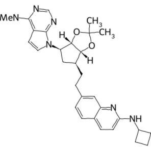 CNc1ncnc2c1ccn2[C@@H]1C[C@H](CCc2ccc3ccc(NC4CCC4)nc3c2)[C@H]2OC(C)(C)O[C@H]21